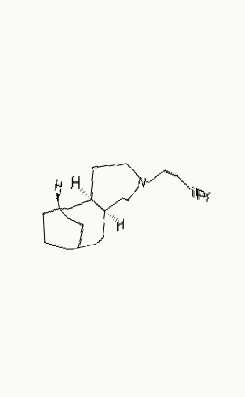 CC(C)CN1CC[C@H]2[C@H](CC3CC[C@H]2C3)C1